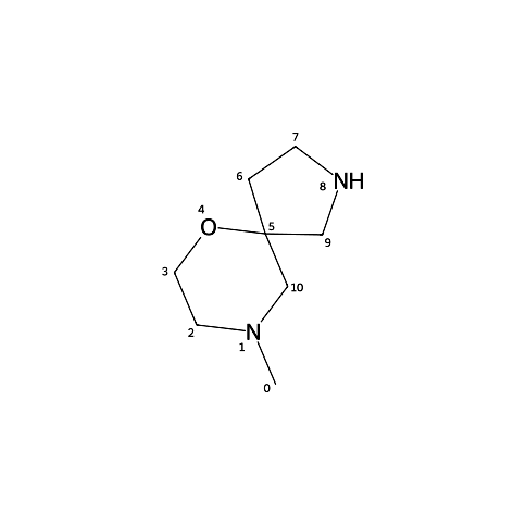 CN1CCOC2(CCNC2)C1